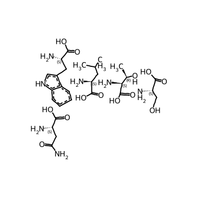 CC(C)C[C@H](N)C(=O)O.C[C@@H](O)[C@H](N)C(=O)O.NC(=O)C[C@H](N)C(=O)O.N[C@@H](CO)C(=O)O.N[C@@H](Cc1c[nH]c2ccccc12)C(=O)O